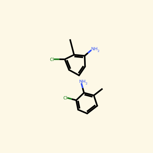 Cc1c(N)cccc1Cl.Cc1cccc(Cl)c1N